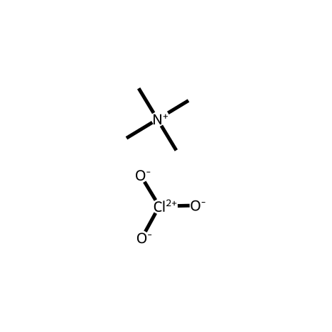 C[N+](C)(C)C.[O-][Cl+2]([O-])[O-]